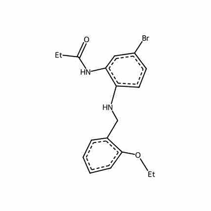 CCOc1ccccc1CNc1ccc(Br)cc1NC(=O)CC